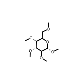 COCC1O[C@H](OC)C(OC)[C@H](OC)[C@@H]1OC